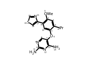 COc1cc(C(C)C)c(Oc2cnc(N)nc2N)cc1-c1cscn1